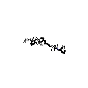 COc1cccc(OC)c1C(=O)N1CCC(CCCCNC(=O)/C=C/c2cccnc2)CC1